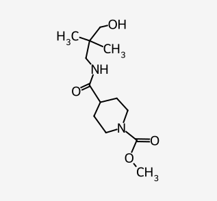 COC(=O)N1CCC(C(=O)NCC(C)(C)CO)CC1